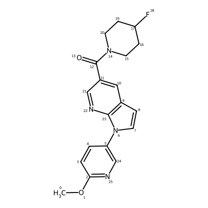 COc1ccc(-n2ccc3cc(C(=O)N4CCC(F)CC4)cnc32)cn1